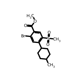 COC(=O)c1cc(S(C)(=O)=O)c(C2CCC(C)CC2)cc1Br